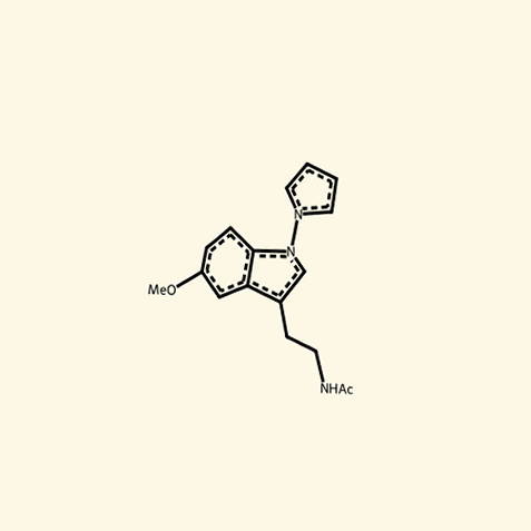 COc1ccc2c(c1)c(CCNC(C)=O)cn2-n1cccc1